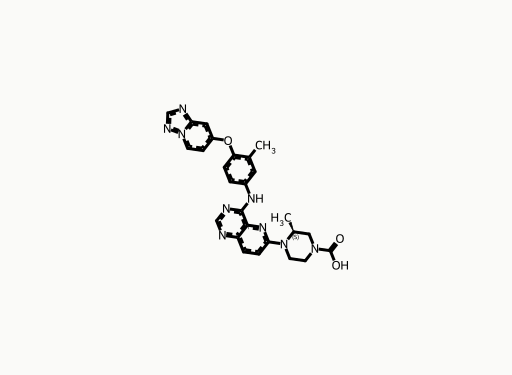 Cc1cc(Nc2ncnc3ccc(N4CCN(C(=O)O)C[C@@H]4C)nc23)ccc1Oc1ccn2ncnc2c1